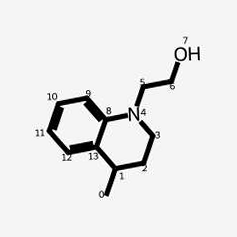 CC1CCN(CCO)c2ccccc21